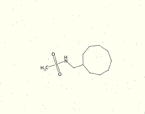 CS(=O)(=O)NCC1CCCCCCCC1